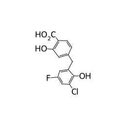 O=C(O)c1ccc(Cc2cc(F)cc(Cl)c2O)cc1O